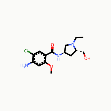 CCN1C[C@H](NC(=O)c2cc(Cl)c(N)cc2OC)C[C@H]1CO